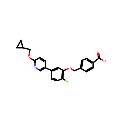 O=C(O)c1ccc(COc2cc(-c3ccc(OCC4CC4)nc3)ccc2F)cc1